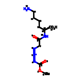 CC(C)(C)OC(=O)N=[N+]=NCC(=O)N[C@@H](CCCCN)C(=O)O